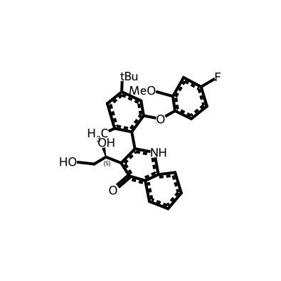 COc1cc(F)ccc1Oc1cc(C(C)(C)C)cc(C)c1-c1[nH]c2ccccc2c(=O)c1[C@H](O)CO